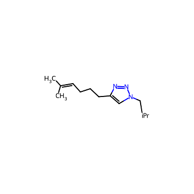 CC(C)=CCCCc1cn(CC(C)C)nn1